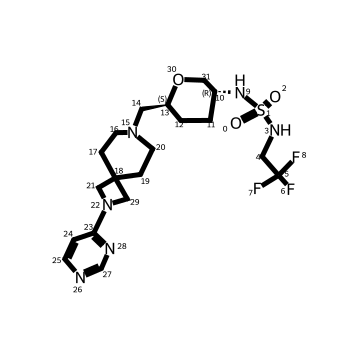 O=S(=O)(NCC(F)(F)F)N[C@@H]1CC[C@@H](CN2CCC3(CC2)CN(c2ccncn2)C3)OC1